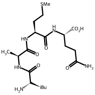 CC[C@H](C)[C@H](N)C(=O)N[C@@H](C)C(=O)N[C@@H](CCSC)C(=O)N[C@@H](CCC(N)=O)C(=O)O